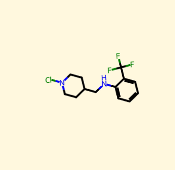 FC(F)(F)c1ccccc1NCC1CCN(Cl)CC1